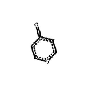 O=c1[c]cscc1